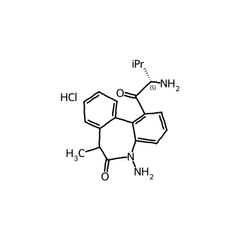 CC1C(=O)N(N)c2cccc(C(=O)[C@@H](N)C(C)C)c2-c2ccccc21.Cl